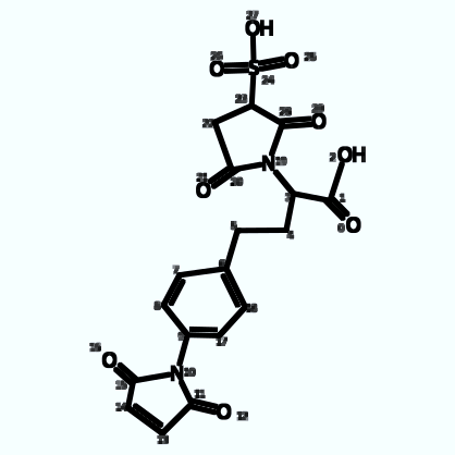 O=C(O)C(CCc1ccc(N2C(=O)C=CC2=O)cc1)N1C(=O)CC(S(=O)(=O)O)C1=O